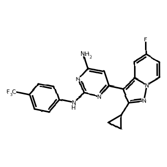 Nc1cc(-c2c(C3CC3)nn3ccc(F)cc23)nc(Nc2ccc(C(F)(F)F)cc2)n1